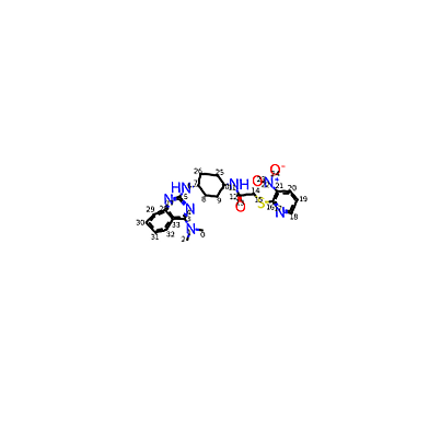 CN(C)c1nc(N[C@H]2CC[C@@H](NC(=O)CSc3ncccc3[N+](=O)[O-])CC2)nc2ccccc12